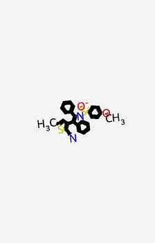 COc1ccc([S+]([O-])n2c(-c3ccccc3)c(-c3cc(C)sc3C#N)c3ccccc32)cc1